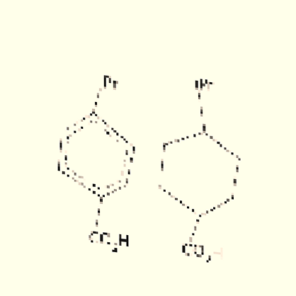 CC(C)C1CCC(C(=O)O)CC1.CC(C)c1ccc(C(=O)O)cc1